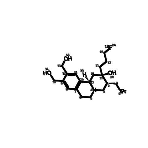 CC(C)C[C@@H]1CN2CCc3cc(CO)c(CO)cc3[C@H]2C[C@]1(O)CCC[18F]